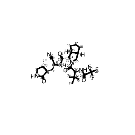 C[C@H]1CNC(=O)[C@@H]1C[C@@H](C#N)NC(=O)[C@@H]1[C@H]2CCC[C@H]2CN1C(=O)[C@@H](NC(=O)C(F)(F)F)C(C)(C)C